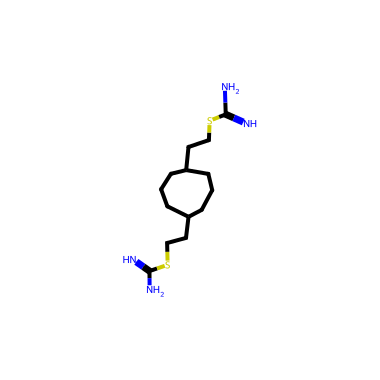 N=C(N)SCCC1CCCC(CCSC(=N)N)CCC1